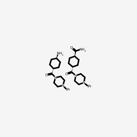 CC(C)N1CCN(C(=O)[C@H]2CC[C@H](C(N)=O)CC2)CC1.CC(C)N1CCN(C(=O)[C@H]2CC[C@H](N)CC2)CC1